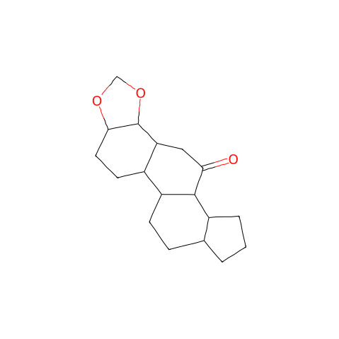 O=C1CC2C(CCC3OCOC32)C2CCC3CCCC3C12